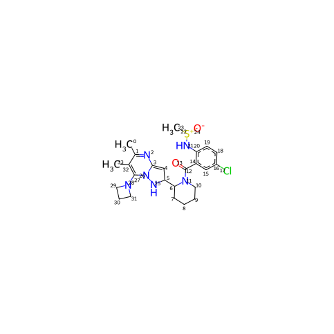 CC1=NC2=CC(C3CCCCN3C(=O)c3cc(Cl)ccc3N[S+](C)[O-])NN2C(N2CCC2)=C1C